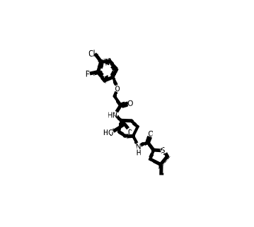 CC1CSC(C(=O)NC23CCC(NC(=O)COc4ccc(Cl)c(F)c4)(CC2)C(O)C3)C1